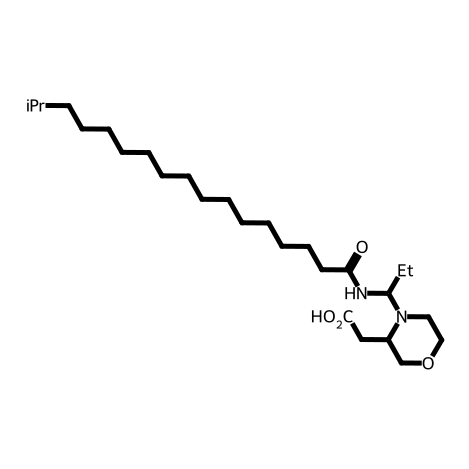 CCC(NC(=O)CCCCCCCCCCCCCCC(C)C)N1CCOCC1CC(=O)O